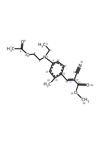 CCN(CCOC(C)=O)c1ccc(/C=C(\C#N)C(=O)OC)c(C)c1